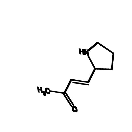 CC(=O)/C=C/C1CCCN1